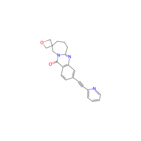 O=c1c2ccc(C#Cc3ccccn3)cc2nc2n1CC1(CCC2)COC1